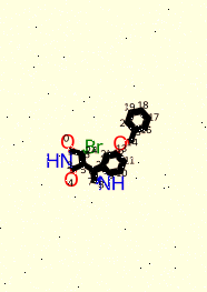 O=C1NC(=O)C(c2c[nH]c3ccc(OCc4ccccc4)cc23)=C1Br